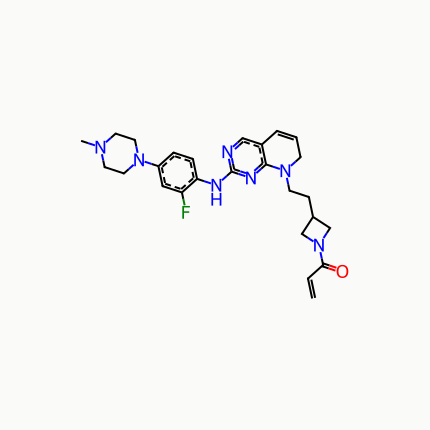 C=CC(=O)N1CC(CCN2CC=Cc3cnc(Nc4ccc(N5CCN(C)CC5)cc4F)nc32)C1